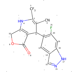 N#CC1=C(C(F)(F)F)NC2=C(C(=O)OC2)C1c1cc2cn[nH]c2cc1F